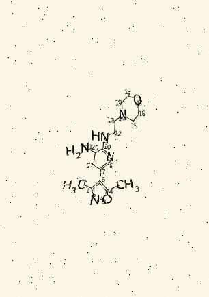 Cc1noc(C)c1C1=CN=C(NCCN2CCOCC2)C(N)C1